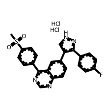 CS(=O)(=O)c1ccc(-c2ncnc3ccc(-c4c[nH]nc4-c4ccc(F)cc4)cc23)cc1.Cl.Cl